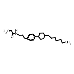 C=CC(=O)NCCCc1ccc(C2CCC(CCCCCCC)CC2)cc1